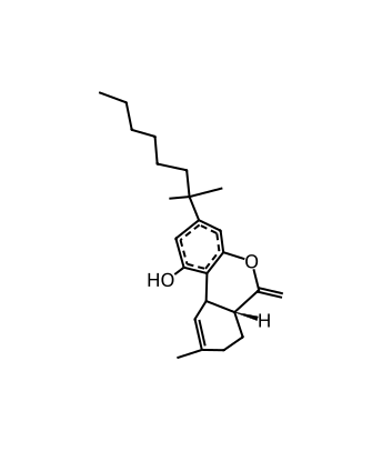 C=C1Oc2cc(C(C)(C)CCCCCC)cc(O)c2C2C=C(C)CC[C@@H]12